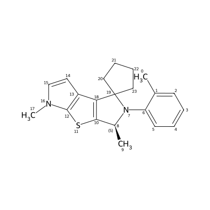 Cc1ccccc1N1[C@@H](C)c2sc3c(ccn3C)c2C12CCCC2